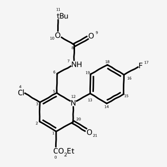 CCOC(=O)c1cc(Cl)c(CNC(=O)OC(C)(C)C)n(-c2ccc(F)cc2)c1=O